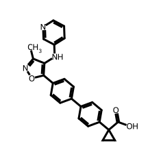 Cc1noc(-c2ccc(-c3ccc(C4(C(=O)O)CC4)cc3)cc2)c1Nc1cccnc1